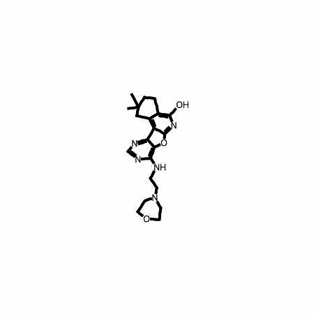 CC1(C)CCc2c(O)nc3oc4c(NCCN5CCOCC5)ncnc4c3c2C1